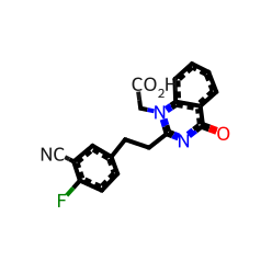 N#Cc1cc(CCc2nc(=O)c3ccccc3n2CC(=O)O)ccc1F